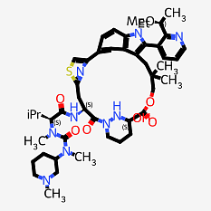 CCn1c(-c2cccnc2[C@H](C)OC)c2c3cc(ccc31)-c1csc(n1)C[C@H](NC(=O)[C@H](C(C)C)N(C)C(=O)N(C)C1CCCN(C)C1)C(=O)N1CCC[C@@](O)(N1)C(=O)OCC(C)(C)C2